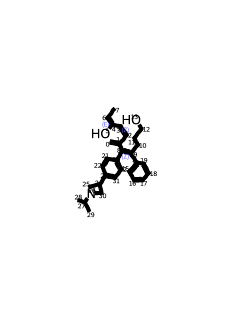 C=C(/C=C\C(O)=C/C)/C(=C(\CCCO)c1ccccc1)c1ccc(C2CN(C(C)C)C2)cc1